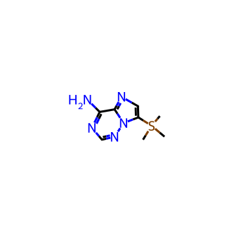 CS(C)(C)c1cnc2c(N)ncnn12